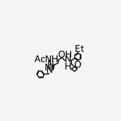 CCc1ccc2c(c1)[C@@H](NC[C@@H](O)[C@H](Cc1cn(Cc3ccccc3)nn1)NC(C)=O)CC1(CCC1)O2